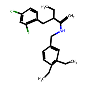 C=C(NCc1ccc(CC)c(CC)c1)C(CC)Cc1ccc(Cl)cc1F